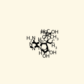 CCC(C)(OP(=O)(O)C(C)(C)O)[C@H]1c2nc3c(N)ncnc3n2[C@@H]2OC1[C@@H](O)[C@H]2O